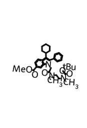 COC(=O)c1ccc2c(C3CCCCC3)c(-c3ccccc3)n(CC(=O)N(C)CCN(C)C(=O)OC(C)(C)C)c2c1